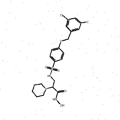 O=C(NO)C(CNS(=O)(=O)c1ccc(OCc2cc(Cl)cc(Cl)c2)cc1)N1CCCCC1